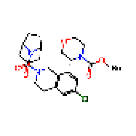 CC(C)(C)OC(=O)N1CCOC[C@H]1c1cc(Cl)cc2c1CN(C(=O)N1C3CCC1CC(=O)C3)CC2